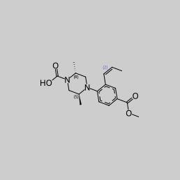 C/C=C\c1cc(C(=O)OC)ccc1N1C[C@@H](C)N(C(=O)O)C[C@@H]1C